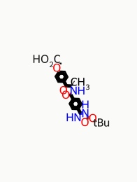 C[C@H](NC(=O)c1ccc(C(=N)NC(=O)OC(C)(C)C)cc1)C(=O)c1ccc(OCC(=O)O)cc1